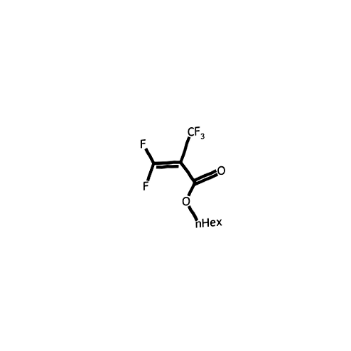 CCCCCCOC(=O)C(=C(F)F)C(F)(F)F